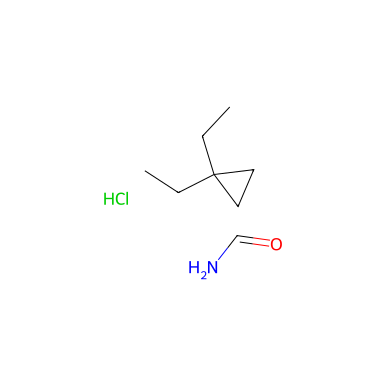 CCC1(CC)CC1.Cl.NC=O